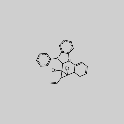 C=CC1C2(CC)C3CC=CC=C3N3c4ccccc4N(c4ccccc4)C3C12CC